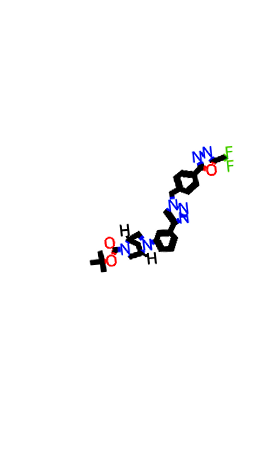 CC(C)(C)OC(=O)N1C[C@@H]2C[C@H]1CN2c1cccc(-c2cn(Cc3ccc(-c4nnc(C(F)F)o4)cc3)nn2)c1